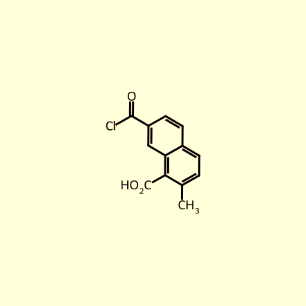 Cc1ccc2ccc(C(=O)Cl)cc2c1C(=O)O